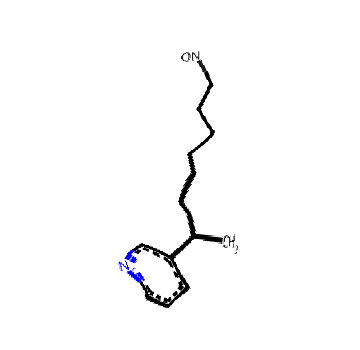 CC(CCCCCCN=O)c1cccnc1